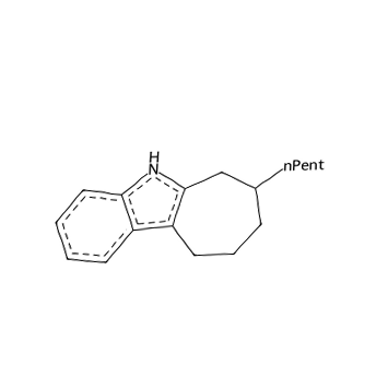 CCCCCC1CCCc2c([nH]c3ccccc23)C1